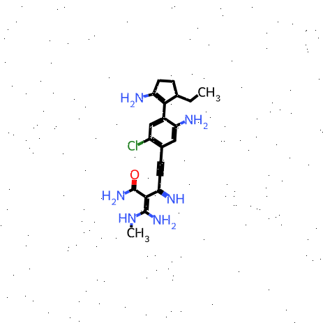 CCC1CCC(N)=C1c1cc(Cl)c(C#CC(=N)/C(C(N)=O)=C(\N)NC)cc1N